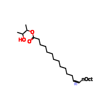 CCCCCCCC/C=C\CCCCCCCCCCCC(=O)OC(C)C(C)O